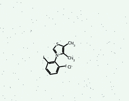 Cc1sc[n+](-c2c(I)cccc2I)c1C.[Cl-]